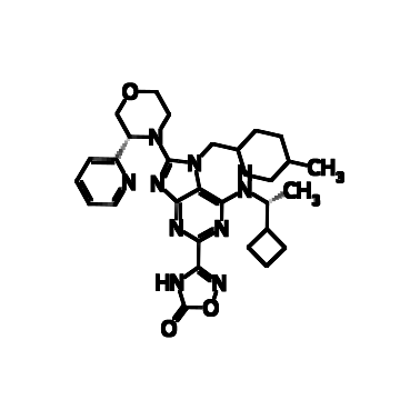 CC1CCC(Cn2c(N3CCOC[C@H]3c3ccccn3)nc3nc(-c4noc(=O)[nH]4)nc(N[C@H](C)C4CCC4)c32)CC1